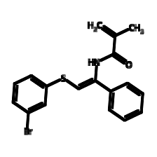 C=C(C)C(=O)N/C(=C\Sc1cccc(Br)c1)c1ccccc1